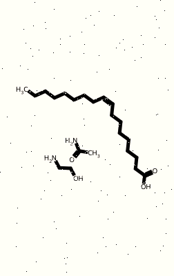 CC(N)=O.CCCCCCCC/C=C\CCCCCCCC(=O)O.NCCO